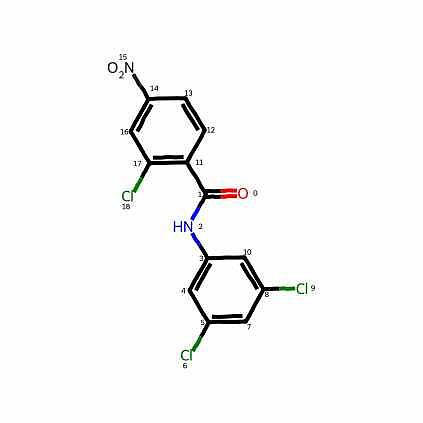 O=C(Nc1cc(Cl)cc(Cl)c1)c1ccc([N+](=O)[O-])cc1Cl